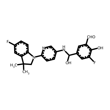 CC1(C)CN(c2ccc(NC(O)c3cc(F)c(O)c(C=O)c3)cn2)c2ccc(F)cc21